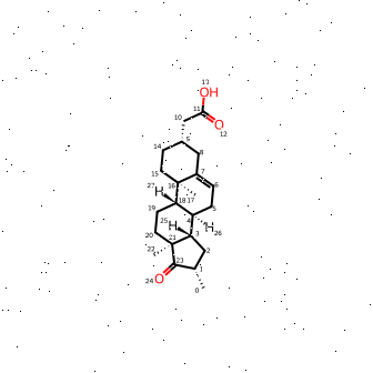 C[C@H]1C[C@H]2[C@@H]3CC=C4C[C@@H](CC(=O)O)CC[C@]4(C)[C@H]3CC[C@]2(C)C1=O